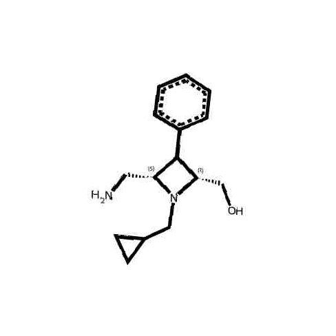 NC[C@@H]1C(c2ccccc2)[C@H](CO)N1CC1CC1